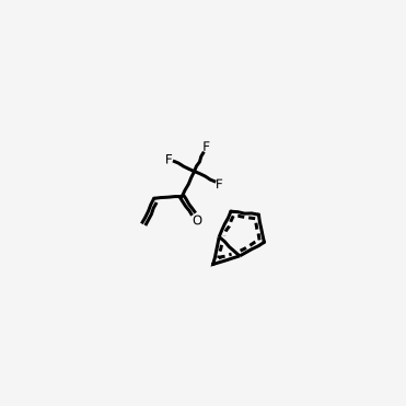 C=CC(=O)C(F)(F)F.c1cc2cc-2c1